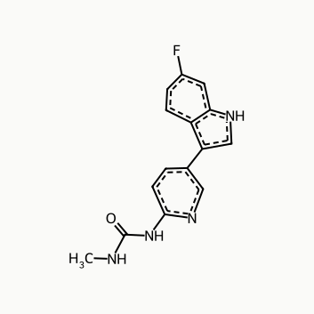 CNC(=O)Nc1ccc(-c2c[nH]c3cc(F)ccc23)cn1